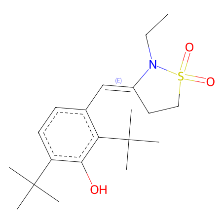 CCN1/C(=C/c2ccc(C(C)(C)C)c(O)c2C(C)(C)C)CCS1(=O)=O